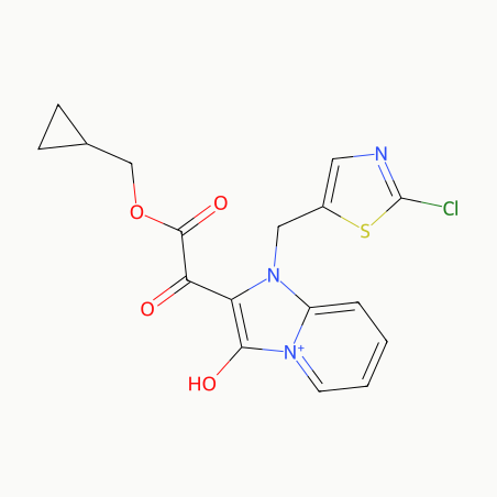 O=C(OCC1CC1)C(=O)c1c(O)[n+]2ccccc2n1Cc1cnc(Cl)s1